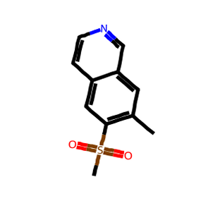 Cc1cc2cnccc2cc1S(C)(=O)=O